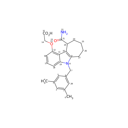 Cc1cc(C)cc(Cn2c3c(c4c(OCC(=O)O)cccc42)C(C(N)=O)CCCC3)c1